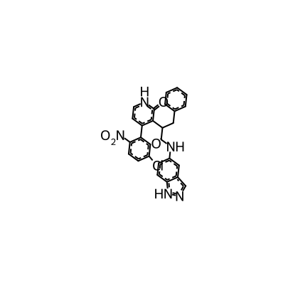 O=C(Nc1ccc2[nH]ncc2c1)C(Cc1ccccc1)c1c(-c2cc(Cl)ccc2[N+](=O)[O-])cc[nH]c1=O